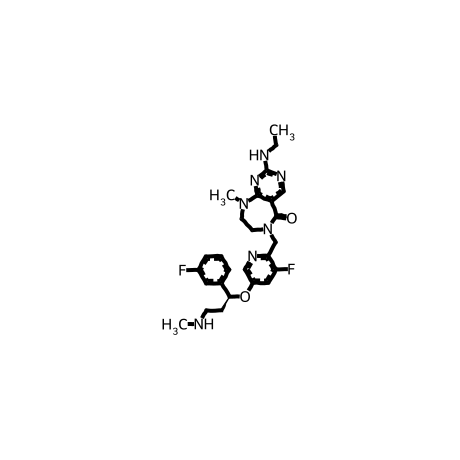 CCNc1ncc2c(n1)N(C)CCN(Cc1ncc(O[C@@H](CCNC)c3cccc(F)c3)cc1F)C2=O